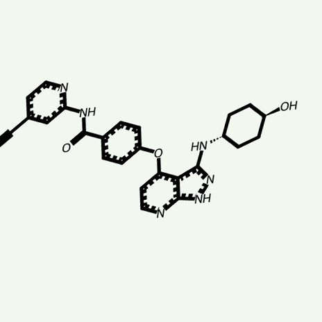 N#Cc1ccnc(NC(=O)c2ccc(Oc3ccnc4[nH]nc(N[C@H]5CC[C@H](O)CC5)c34)cc2)c1